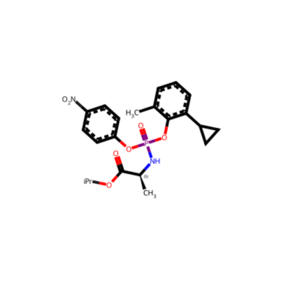 Cc1cccc(C2CC2)c1OP(=O)(N[C@@H](C)C(=O)OC(C)C)Oc1ccc([N+](=O)[O-])cc1